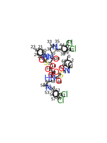 Cc1ccc2nc(SC(OC(=O)C(=O)OC(Sc3nc4ccc(C)cc4o3)C(=O)NCCC(C)N(C)Cc3ccc(Cl)c(Cl)c3)C(=O)NCCC(C)N(C)Cc3ccc(Cl)c(Cl)c3)oc2c1